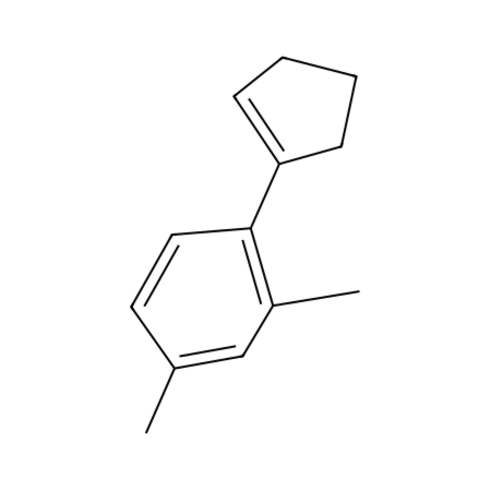 Cc1ccc(C2=CCCC2)c(C)c1